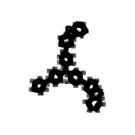 c1ccc2c(c#1)oc1ccc(-c3ccc(N(c4ccc(-c5ccccc5)cc4)c4ccc(-c5ccc6c(c5)C5C=CC=CC5S6)cc4)cc3)cc12